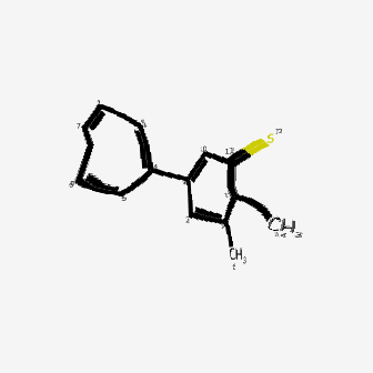 CC1=CC(c2ccccc2)=[C]C(=S)C1C